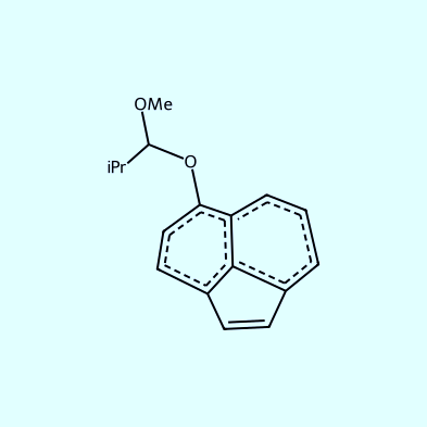 COC(Oc1ccc2c3c(cccc13)C=C2)C(C)C